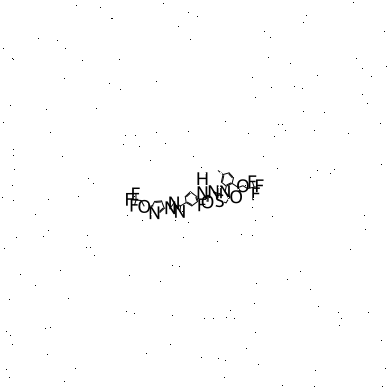 Cc1ccc(COCC(F)(F)F)c(N2C(=O)CS/C2=N\C(=O)Nc2ccc(-c3ncn(-c4ccc(OCC(F)(F)F)nc4)n3)cc2F)c1